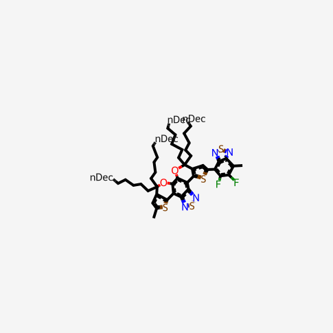 CCCCCCCCCCCCCCCC1(CCCCCCCCCCCCCCC)Oc2c3c(c4nsnc4c2-c2sc(C)cc21)-c1sc(-c2c(F)c(F)c(C)c4nsnc24)cc1C(CCCCCCCCCCCCCCC)(CCCCCCCCCCCCCCC)O3